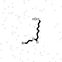 CCCCCCCCCCCCCCCC(=O)OCCCBr